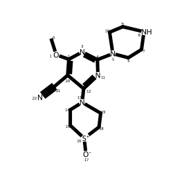 COc1nc(N2CCNCC2)nc(N2CC[S+]([O-])CC2)c1C#N